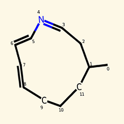 CC1C\C=N/C=C/C=C/CCC1